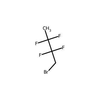 CC(F)(F)C(F)(F)CBr